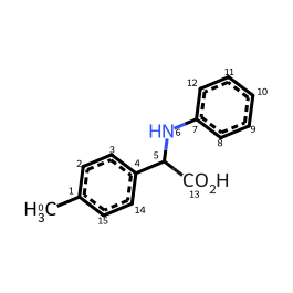 Cc1ccc(C(Nc2ccccc2)C(=O)O)cc1